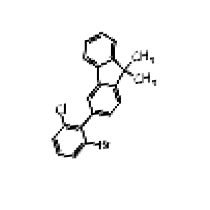 CC1(C)c2ccccc2-c2cc(-c3c(Cl)cccc3Br)ccc21